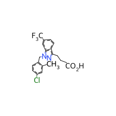 Cc1cc(Cl)ccc1Cn1nc(CCCC(=O)O)c2ccc(C(F)(F)F)cc21